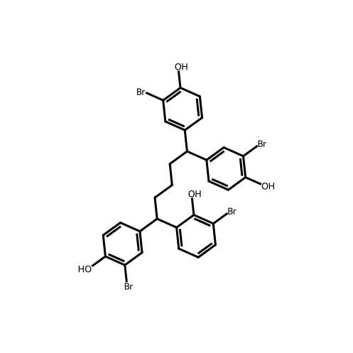 Oc1ccc(C(CCCC(c2ccc(O)c(Br)c2)c2cccc(Br)c2O)c2ccc(O)c(Br)c2)cc1Br